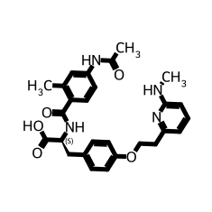 CNc1cccc(CCOc2ccc(C[C@H](NC(=O)c3ccc(NC(C)=O)cc3C)C(=O)O)cc2)n1